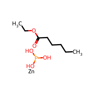 CCCCCC(=O)OCC.OP(O)O.[Zn]